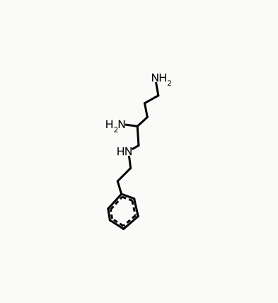 NCCCC(N)CNCCc1ccccc1